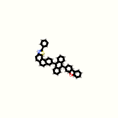 c1ccc(-c2nc3ccc4ccc5cc(-c6c7ccccc7c(-c7ccc8c(c7)oc7ccccc78)c7ccccc67)ccc5c4c3s2)cc1